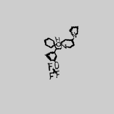 OC1(C(CN2CCC(N3CCCC3)CC2)c2cccc(OC(F)(F)F)c2)CCCCC1